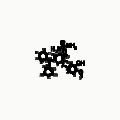 COc1ccc(CC2(C)CN(C(c3ccccc3)c3ccccc3)CCN2C)cc1O.NS(N)(=O)=O